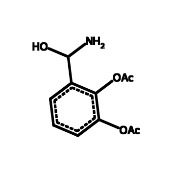 CC(=O)Oc1cccc(C(N)O)c1OC(C)=O